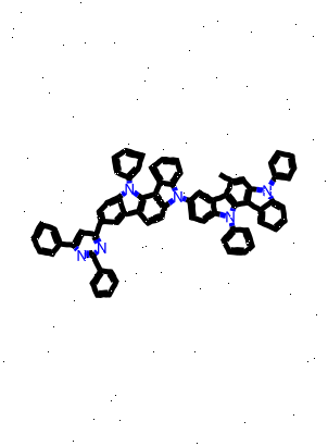 Cc1cc2c(c3ccccc3n2-c2ccccc2)c2c1c1cc(-n3c4ccccc4c4c3ccc3c5cc(-c6cc(-c7ccccc7)nc(-c7ccccc7)n6)ccc5n(-c5ccccc5)c34)ccc1n2-c1ccccc1